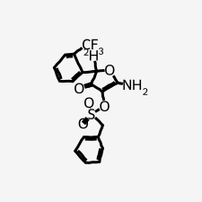 [2H]C1(c2ccccc2C(F)(F)F)OC(N)=C(OS(=O)(=O)Cc2ccccc2)C1=O